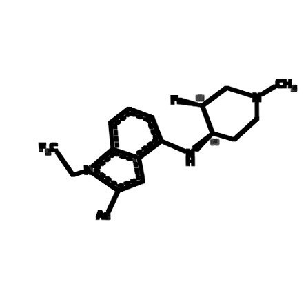 CC(=O)c1cc2c(N[C@@H]3CCN(C)C[C@@H]3F)cccc2n1CC(F)(F)F